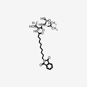 CC(C)C[C@H](NC(=O)[C@@H](NC(=O)CCCCCCCCCN1C(=O)c2ccccc2C1=O)[C@@H](C)O)B(O)O